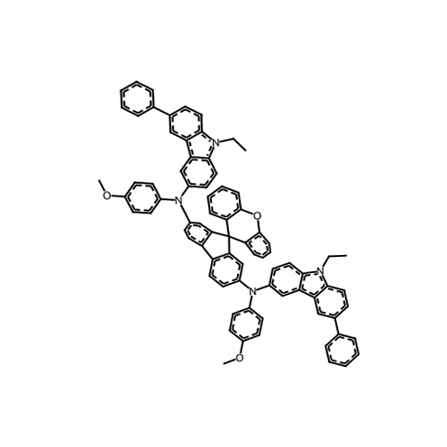 CCn1c2ccc(-c3ccccc3)cc2c2cc(N(c3ccc(OC)cc3)c3ccc4c(c3)C3(c5ccccc5Oc5ccccc53)c3cc(N(c5ccc(OC)cc5)c5ccc6c(c5)c5cc(-c7ccccc7)ccc5n6CC)ccc3-4)ccc21